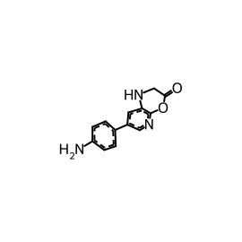 Nc1ccc(-c2cnc3c(c2)NCC(=O)O3)cc1